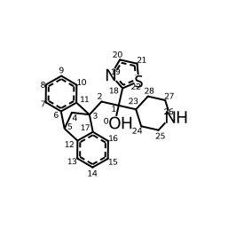 OC(CC12CC(c3ccccc31)c1ccccc12)(c1nccs1)C1CCNCC1